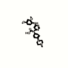 COc1ccc(Nc2cc(N(C(=O)O)c3ccc(N4CCN(C)CC4)cc3)ncn2)c(OC)c1